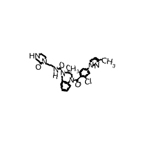 Cc1ccn(-c2ccc(C(=O)N3C[C@@H](C)N(C(=O)NCCN4CCNCC4=O)Cc4ccccc43)c(Cl)c2)n1